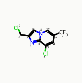 FC(F)(F)c1cc(Cl)c2nc(CCl)cn2c1